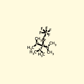 CN(C)[P+](Br)(N(C)C)N(C)C.F[P-](F)(F)(F)(F)F